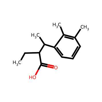 CCC(C(=O)O)C(C)c1cccc(C)c1C